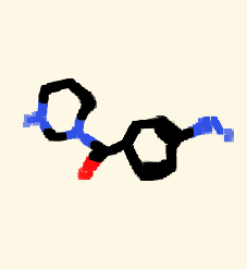 Nc1ccc(C(=O)N2CCCNC2)cc1